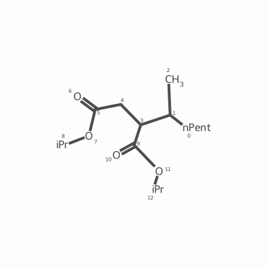 CCCCCC(C)C(CC(=O)OC(C)C)C(=O)OC(C)C